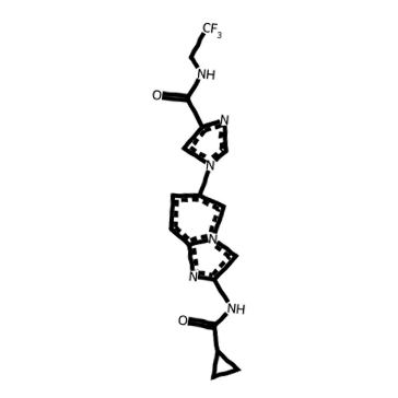 O=C(NCC(F)(F)F)c1cn(-c2ccc3nc(NC(=O)C4CC4)cn3c2)cn1